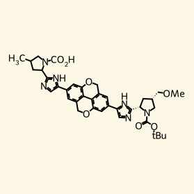 COC[C@H]1C[C@@H](c2ncc(-c3cc4c5c(c3)OCc3cc(-c6cnc(C7CC(C)CN7C(=O)O)[nH]6)cc(c3-5)OC4)[nH]2)N(C(=O)OC(C)(C)C)C1